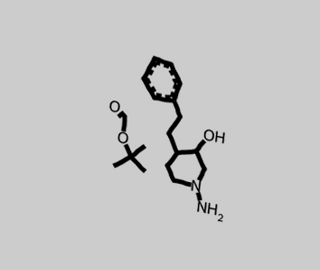 CC(C)(C)OC=O.NN1CCC(CCc2ccccc2)C(O)C1